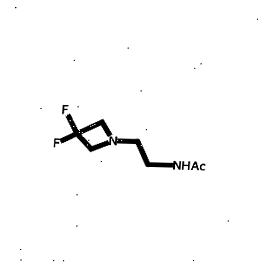 CC(=O)NCCN1CC(F)(F)C1